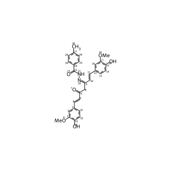 COc1cc(C=CC(=O)CC(C=Cc2ccc(O)c(OC)c2)=NNC(=O)c2ccc(C)cc2)ccc1O